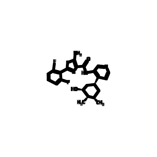 C[C@@H]1[C@H](O)C[C@H](c2ccncc2NC(=O)c2nc(-c3c(F)cccc3F)sc2N)C[C@@H]1C